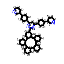 c1cncc(-c2ccc(-c3cc(-c4ccc(-c5cccnc5)cc4)nc(-c4ccc5c6ccccc6c6ccccc6c6ccccc6c6ccccc6c5c4)n3)cc2)c1